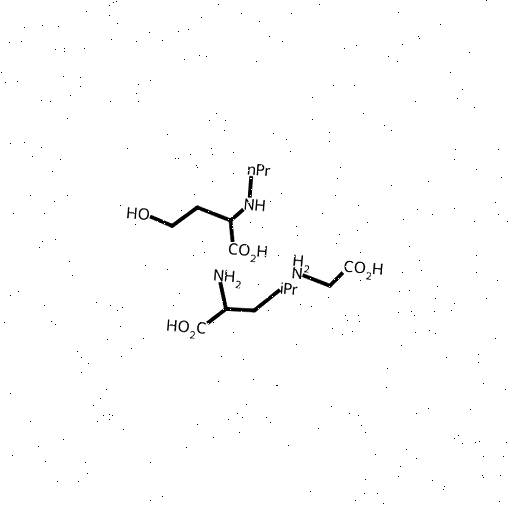 CC(C)CC(N)C(=O)O.CCCNC(CCO)C(=O)O.NCC(=O)O